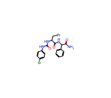 CC(C)CC(NC(=O)Nc1ccc(Br)cc1)C(=O)NC(C(N)=O)c1ccccc1